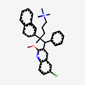 COc1nc2ccc(Br)cc2cc1C(c1ccccc1)C(C)(CCC[N+](C)(C)C)c1ccc2ccccc2c1